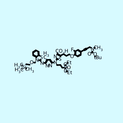 CCOP(=O)(CCCN(c1cc(C)c(/N=c2\sc3ccccc3n2COCC[Si](C)(C)C)nn1)c1nc(C(=O)O)c(CCCOc2ccc(C#CCN(C)C(=O)OC(C)(C)C)cc2F)s1)OCC